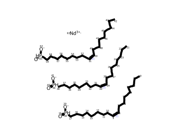 CCCCCCCC/C=C\CCCCCCCC[PH](=O)[O-].CCCCCCCC/C=C\CCCCCCCC[PH](=O)[O-].CCCCCCCC/C=C\CCCCCCCC[PH](=O)[O-].[Nd+3]